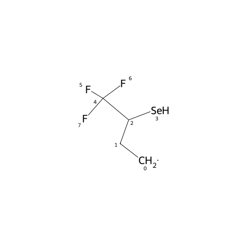 [CH2]CC([SeH])C(F)(F)F